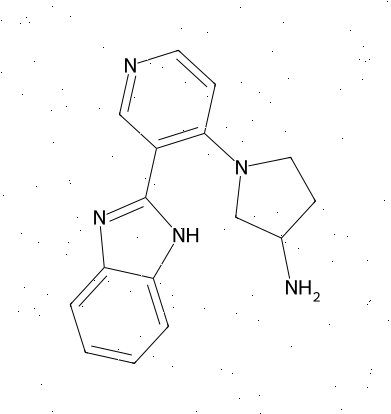 NC1CCN(c2ccncc2-c2nc3ccccc3[nH]2)C1